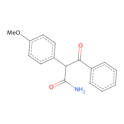 COc1ccc(C(C(N)=O)C(=O)c2ccccc2)cc1